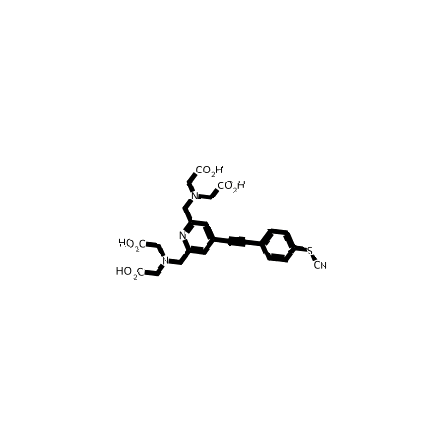 N#CSc1ccc(C#Cc2cc(CN(CC(=O)O)CC(=O)O)nc(CN(CC(=O)O)CC(=O)O)c2)cc1